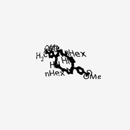 C=C(OC)c1ccc(-c2c3nc(c(CCCCCC)c4ccc([nH]4)c(-c4ccc(C(=O)OC)cc4)c4nc(c(CCCCCC)c5ccc2[nH]5)C=C4)C[C@H]3O)cc1